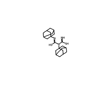 N=C(S)N(C(S)=NC12CC3CC(CC(C3)C1)C2)C12CC3CC(CC(C3)C1)C2